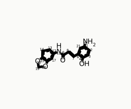 Nc1ccc(O)c(C=CC(=O)Nc2ccc3c(c2)OCO3)c1